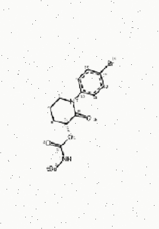 CC(C)(C)NC(=O)O[C@@H]1CCCN(c2ccc(Br)cc2)C1=O